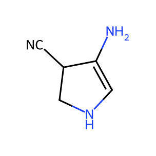 N#CC1CNC=C1N